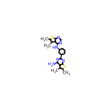 Cc1sc2nc(-c3cccc(Nc4ncnc5sc(C)c(C)c45)c3)nc(N)c2c1C